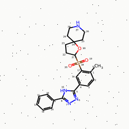 Cc1ccc(-c2nnc(-c3ccccc3)[nH]2)cc1S(=O)(=O)C1CCC2(CCNCC2)O1